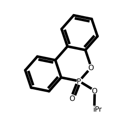 CC(C)OP1(=O)Oc2ccccc2-c2ccccc21